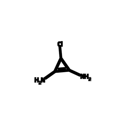 NC1=C(N)C1Cl